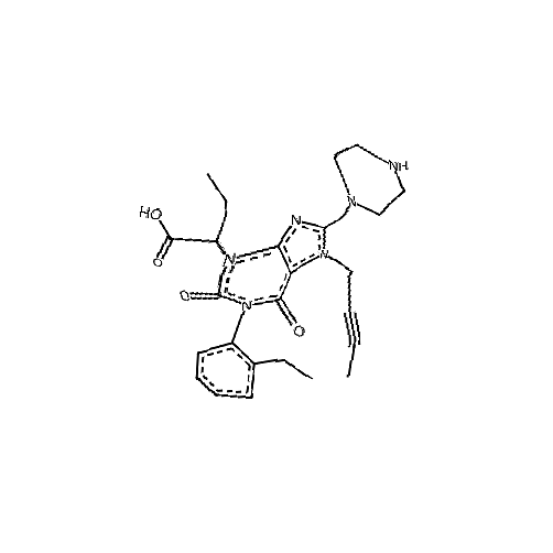 CC#CCn1c(N2CCNCC2)nc2c1c(=O)n(-c1ccccc1CC)c(=O)n2C(CC)C(=O)O